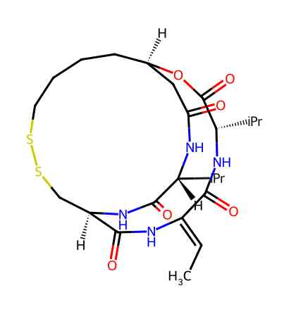 C/C=C1\NC(=O)[C@H]2CSSCCCC[C@H](CC(=O)N[C@H](C(C)C)C(=O)N2)OC(=O)[C@H](C(C)C)NC1=O